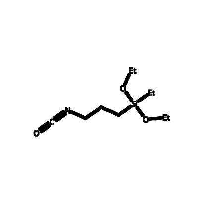 CCO[Si](CC)(CCCN=C=O)OCC